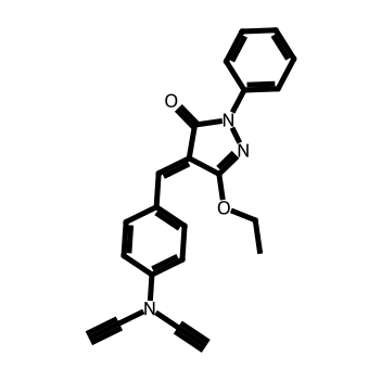 C#CN(C#C)c1ccc(C=C2C(=O)N(c3ccccc3)N=C2OCC)cc1